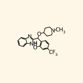 CN1CCC(OC(c2nc3ccccc3[nH]2)c2ccc(C(F)(F)F)cc2O)CC1